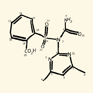 Cc1cc(C)nc(N(C(N)=O)S(=O)(=O)c2ccccc2C(=O)O)n1